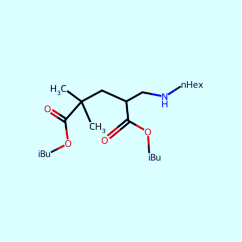 CCCCCCNCC(CC(C)(C)C(=O)OC(C)CC)C(=O)OC(C)CC